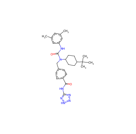 Cc1cc(C)cc(NC(=O)N(Cc2ccc(C(=O)Nc3nn[nH]n3)cc2)C2CCC(C(C)(C)C)CC2)c1